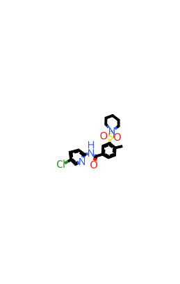 Cc1ccc(C(=O)Nc2ccc(Cl)cn2)cc1S(=O)(=O)N1CCCCC1